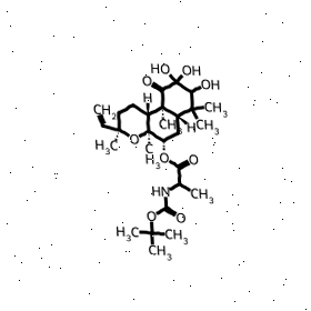 C=C[C@@]1(C)CC[C@H]2[C@](C)(O1)[C@@H](OC(=O)C(C)NC(=O)OC(C)(C)C)C[C@H]1C(C)(C)C(O)C(O)(O)C(=O)[C@@]12C